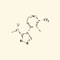 Cc1c(-n2nnnc2[S+](C)[O-])cccc1C(F)(F)F